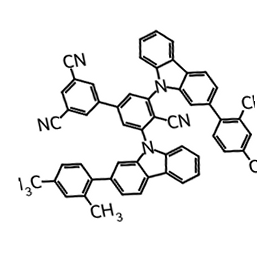 Cc1ccc(-c2ccc3c4ccccc4n(-c4cc(-c5cc(C#N)cc(C#N)c5)cc(-n5c6ccccc6c6ccc(-c7ccc(C)cc7C)cc65)c4C#N)c3c2)c(C)c1